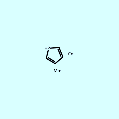 [Co].[Mn].c1cc[pH]c1